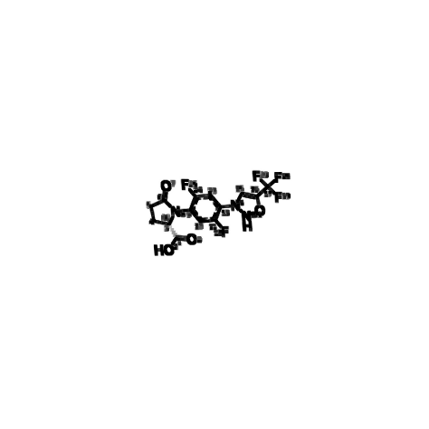 O=C(O)[C@@H]1CCC(=O)N1c1cc(F)c(N2C=C(C(F)(F)F)ON2)cc1F